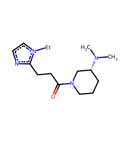 CCn1ccnc1CCC(=O)N1CCC[C@@H](N(C)C)C1